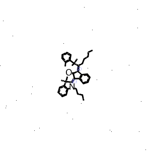 CCCCC/C(=C1/C(=O)/C(=C2/N(CCCC)c3ccccc3C2(C)C)c2ccccc21)C(C)(C)c1ccccc1C